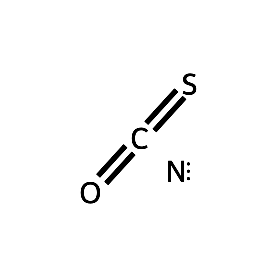 O=C=S.[N]